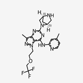 Cc1ccnc(Nc2nc(N3C[C@@H]4C[C@H]3CN4)nc3c(C)nn(CCOCC(F)(F)F)c23)c1